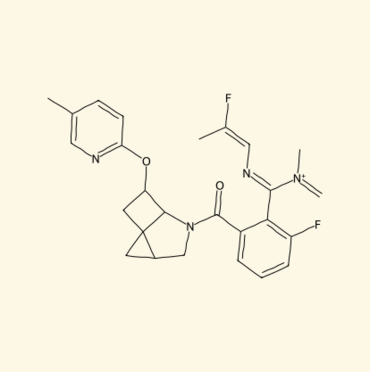 C=[N+](C)/C(=N\C=C(/C)F)c1c(F)cccc1C(=O)N1CC2CC23CC(Oc2ccc(C)cn2)C13